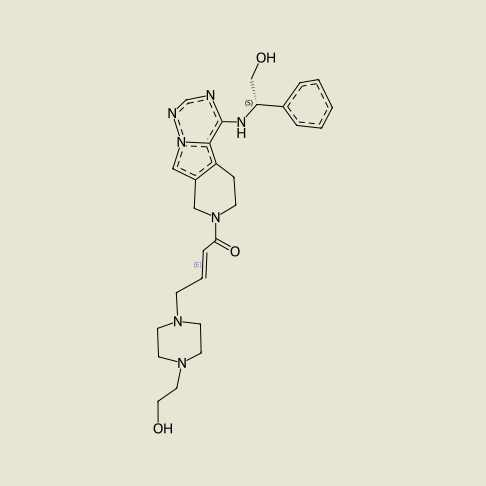 O=C(/C=C/CN1CCN(CCO)CC1)N1CCc2c(cn3ncnc(N[C@H](CO)c4ccccc4)c23)C1